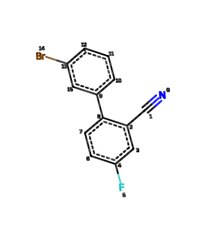 N#Cc1cc(F)ccc1-c1cc[c]c(Br)c1